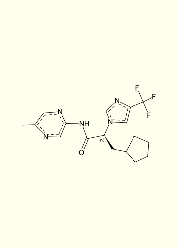 Cc1cnc(NC(=O)[C@H](CC2CCCC2)n2cnc(C(F)(F)F)c2)cn1